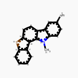 CCCc1ccc2c(c1)c1ccc3sc4ccccc4c3c1n2C